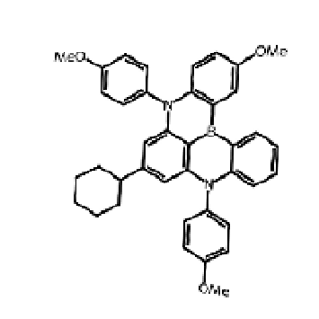 COc1ccc(N2c3ccccc3B3c4cc(OC)ccc4N(c4ccc(OC)cc4)c4cc(C5CCCCC5)cc2c43)cc1